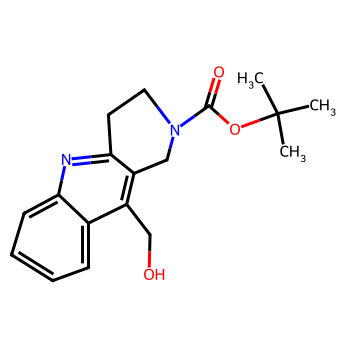 CC(C)(C)OC(=O)N1CCc2nc3ccccc3c(CO)c2C1